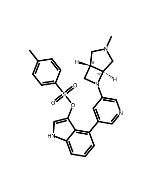 Cc1ccc(S(=O)(=O)Oc2c[nH]c3cccc(-c4cncc(N5C[C@@H]6CN(C)C[C@H]65)c4)c23)cc1